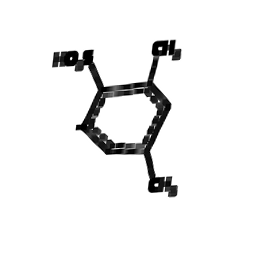 Cc1c[c]c(S(=O)(=O)O)c(C)c1